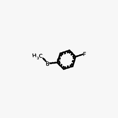 C[B]c1ccc(F)cc1